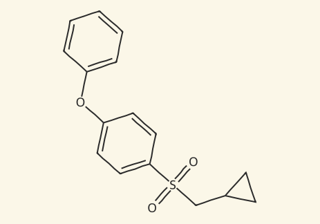 O=S(=O)(CC1CC1)c1ccc(Oc2ccccc2)cc1